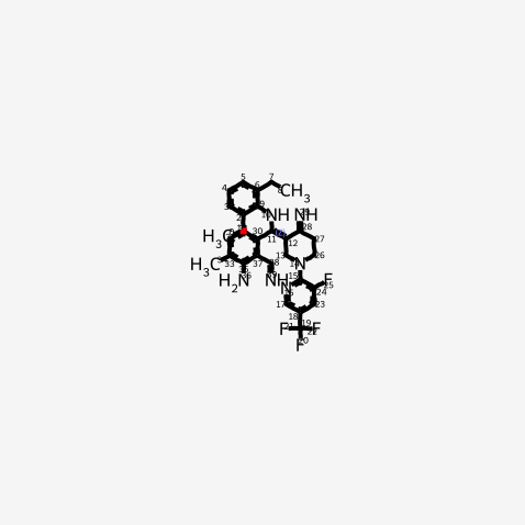 CCc1cccc(CC)c1N/C(=C1/CN(c2ncc(C(F)(F)F)cc2F)CCC1=N)c1ccc(C)c(N)c1C=N